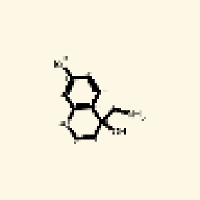 NCC1(O)CCOc2cc(Br)ccc21